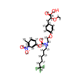 CCOC(Cc1ccc(OCCN(CCCCCCC(F)(F)F)C(=O)Oc2ccc(C)c([N+](=O)[O-])c2)cc1)C(=O)O